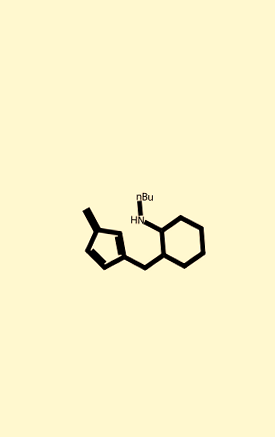 C=C1C=CC(CC2CCCCC2NCCCC)=C1